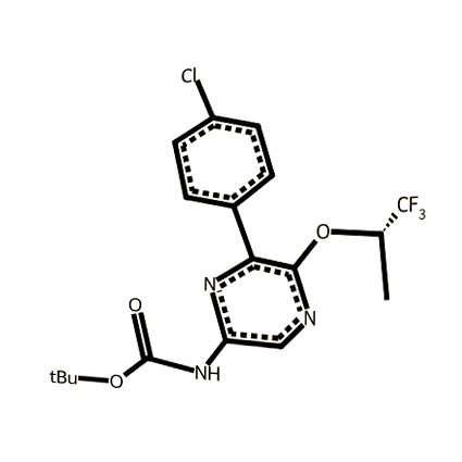 C[C@H](Oc1ncc(NC(=O)OC(C)(C)C)nc1-c1ccc(Cl)cc1)C(F)(F)F